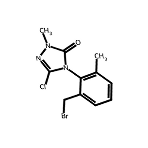 Cc1cccc(CBr)c1-n1c(Cl)nn(C)c1=O